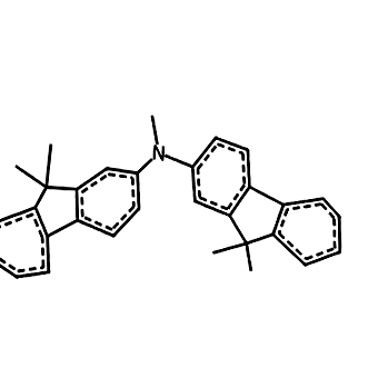 CN(c1ccc2c(c1)C(C)(C)c1ccccc1-2)c1ccc2c(c1)C(C)(C)c1ccccc1-2